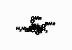 COc1ccc(CNS(=O)(=O)c2c(S(=O)(=O)C[C@@H](O)CN)ccc(-c3cccc4sc(N)nc34)c2-c2nnn(Cc3ccc(OC)cc3)n2)cc1